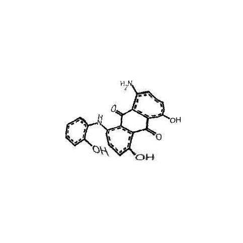 Nc1ccc(O)c2c1C(=O)c1c(Nc3ccccc3O)ccc(O)c1C2=O